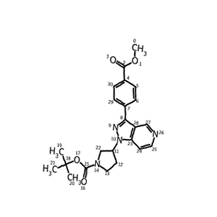 COC(=O)c1ccc(-c2nn(C3CCN(C(=O)OC(C)(C)C)C3)c3ccncc23)cc1